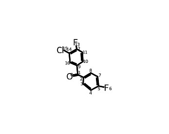 O=C(c1ccc(F)cc1)c1ccc(F)c(Cl)c1